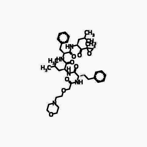 CC(C)C[C@H](NC(=O)[C@H](CCc1ccccc1)NC(=O)COCCN1CCOCC1)C(=O)N[C@@H](Cc1ccccc1)C(=O)N[C@@H](CC(C)C)C(=O)C1(C)CO1